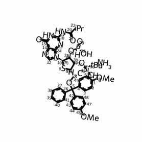 COc1ccc(C(OC[C@@H]2S[C@@H](n3cnc4c(=O)[nH]c(NC(=O)C(C)C)nc43)[C@H](O[PH](=O)O)[C@@H]2O[Si](C)(C)C(C)(C)C)(c2ccccc2)c2ccc(OC)cc2)cc1.N